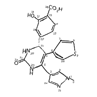 Cn1cc(C2=C(c3ccsc3)[C@@H](c3ccc(C(=O)O)c(O)c3)NC(=O)N2)cn1